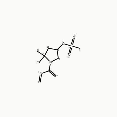 C=NC(=C)N1CC(OS(C)(=O)=O)CC1(C)C